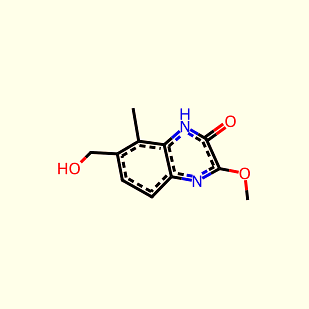 COc1nc2ccc(CO)c(C)c2[nH]c1=O